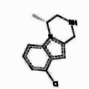 C[C@@H]1CNCc2cc3c(Cl)cccc3n21